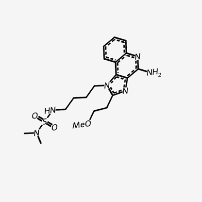 COCCc1nc2c(N)nc3ccccc3c2n1CCCCNS(=O)(=O)N(C)C